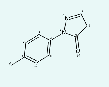 Cc1ccc(N2N=CCC2=O)cc1